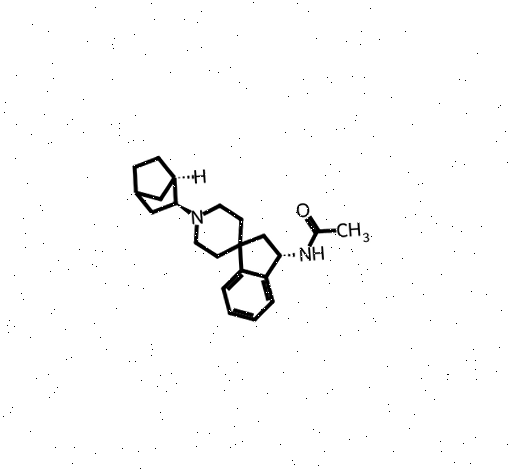 CC(=O)N[C@H]1CC2(CCN([C@H]3CC4CC[C@@H]3C4)CC2)c2ccccc21